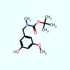 COc1cc(O)cc(CN(C)C(=O)OC(C)(C)C)c1